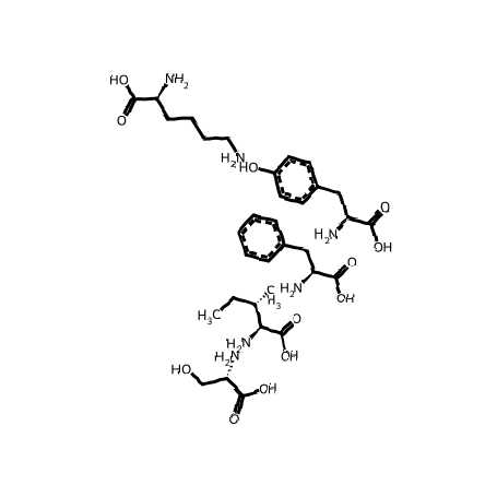 CC[C@H](C)[C@H](N)C(=O)O.NCCCC[C@H](N)C(=O)O.N[C@@H](CO)C(=O)O.N[C@@H](Cc1ccc(O)cc1)C(=O)O.N[C@@H](Cc1ccccc1)C(=O)O